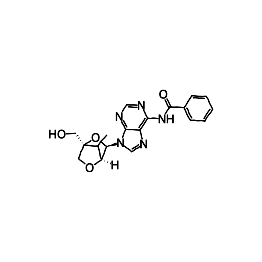 CC1[C@@H]2OC[C@@]1(CO)O[C@H]2n1cnc2c(NC(=O)c3ccccc3)ncnc21